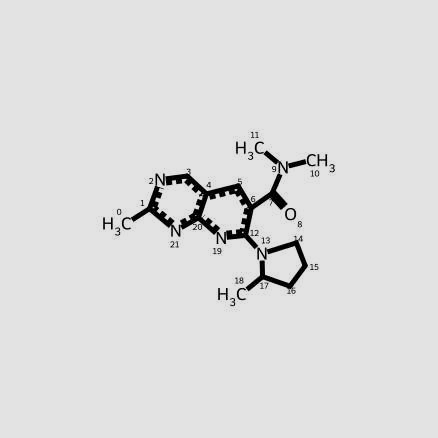 Cc1ncc2cc(C(=O)N(C)C)c(N3CCCC3C)nc2n1